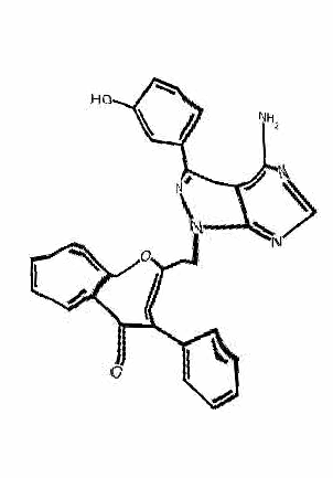 Nc1ncnc2c1c(-c1cccc(O)c1)nn2Cc1oc2ccccc2c(=O)c1-c1ccccc1